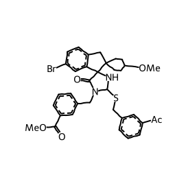 COC(=O)c1cccc(CN2C(=O)C3(NC2SCc2cccc(C(C)=O)c2)c2cc(Br)ccc2CC32CCC(OC)CC2)c1